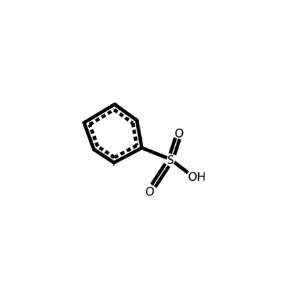 O=S(=O)(O)c1[c]cccc1